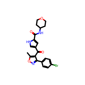 Cc1onc(-c2ccc(Br)cc2)c1C(=O)c1c[nH]c(C(=O)NC2CCOCC2)c1